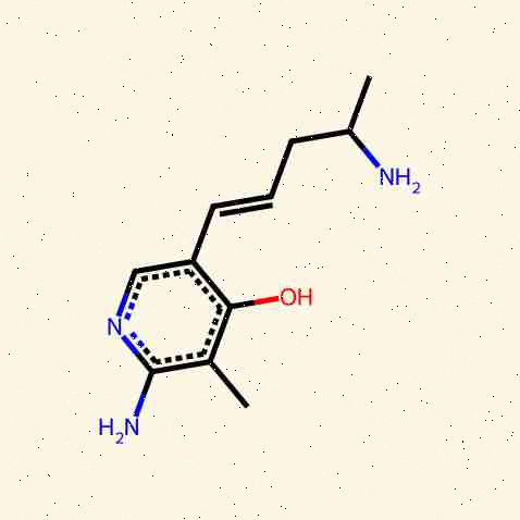 Cc1c(N)ncc(C=CCC(C)N)c1O